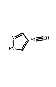 C#C.c1cn[nH]c1